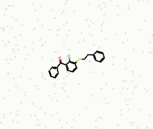 O=C(c1ccccc1)c1cccc(SCCc2ccccc2)c1Cl